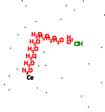 Cl.O.O.O.O.O.O.O.O.O.O.[Ce]